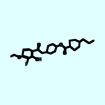 CCCC1CCC(C(=O)OC2CCC(CC(=O)c3ccc(OCC)c(F)c3O)CC2)CC1